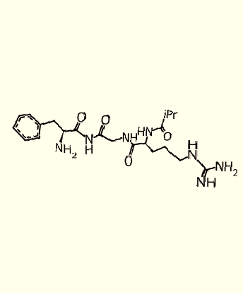 CC(C)C(=O)N[C@@H](CCCNC(=N)N)C(=O)NCC(=O)NC(=O)[C@@H](N)Cc1ccccc1